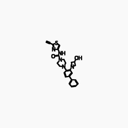 C#Cc1nc(NC(=O)N2CCN(c3ccc(-c4ccccc4)cc3N3CC(O)C3)CC2)cs1